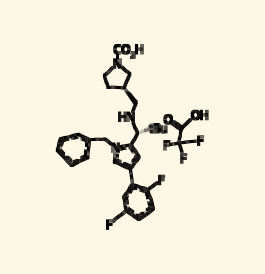 CC(C)(C)[C@@H](NC[C@H]1CCN(C(=O)O)C1)c1cc(-c2cc(F)ccc2F)cn1Cc1ccccc1.O=C(O)C(F)(F)F